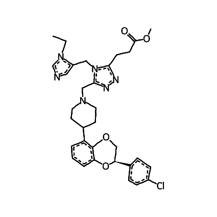 CCn1cncc1Cn1c(CCC(=O)OC)nnc1CN1CCC(c2cccc3c2OC[C@@H](c2ccc(Cl)cc2)O3)CC1